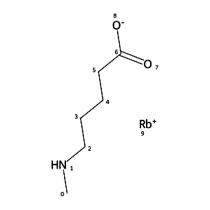 CNCCCCC(=O)[O-].[Rb+]